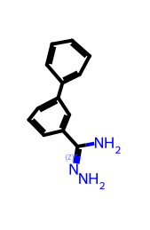 N/N=C(\N)c1cccc(-c2ccccc2)c1